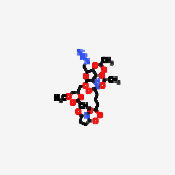 COCC(COC1OC(CN=[N+]=[N-])C(OC(C)=O)C(OC(C)=O)C1NC(=O)CCCC(=O)ON1C(=O)CCC1=O)OC(C)=O